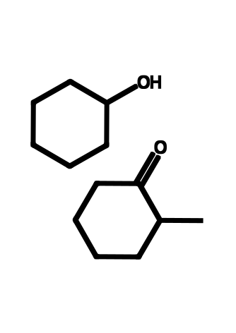 CC1CCCCC1=O.OC1CCCCC1